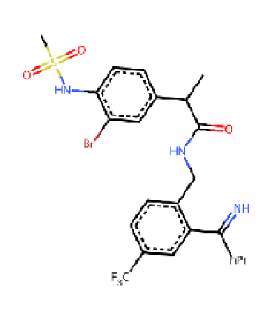 CCCC(=N)c1cc(C(F)(F)F)ccc1CNC(=O)C(C)c1ccc(NS(C)(=O)=O)c(Br)c1